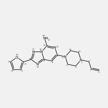 C=CCN1CCN(c2cc3nc(-c4ccco4)nn3c(N)n2)CC1